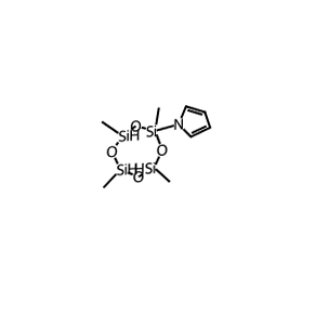 C[SiH]1O[SiH](C)O[Si](C)(n2cccc2)O[SiH](C)O1